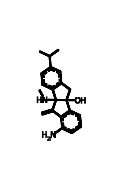 C=C1c2c(N)cccc2C2(O)Cc3cc(C(C)C)ccc3C12NC